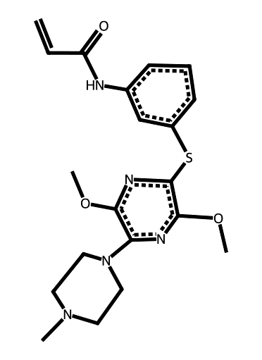 C=CC(=O)Nc1cccc(Sc2nc(OC)c(N3CCN(C)CC3)nc2OC)c1